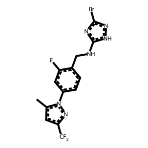 Cc1cc(C(F)(F)F)nn1-c1ccc(CNc2nc(Br)n[nH]2)c(F)c1